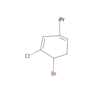 CC(C)C1=CCC(Br)C(Cl)=C1